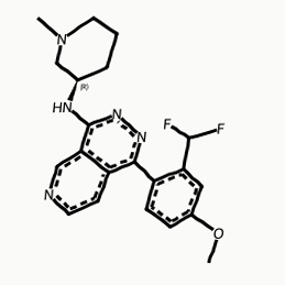 COc1ccc(-c2nnc(N[C@@H]3CCCN(C)C3)c3cnccc23)c(C(F)F)c1